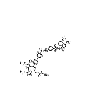 Cc1sc2c(c1C)C(c1ccc(-c3cnc(C(=O)NCc4ccc(S(=O)(=O)Nc5ccc(C)c6c(C#N)c[nH]c56)cc4)nc3)cc1)=N[C@@H](CCC(=O)OC(C)(C)C)c1nnc(C)n1-2